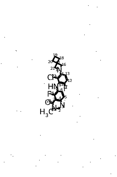 Cn1cnc2ccc(Nc3c(F)ccc(N4CC5(CCC5)C4)c3Cl)c(F)c2c1=O